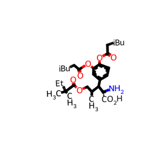 CCC(C)CC(=O)Oc1ccc(C(C(C)COC(=O)C(C)(C)CC)[C@H](N)C(=O)O)cc1OC(=O)CC(C)CC